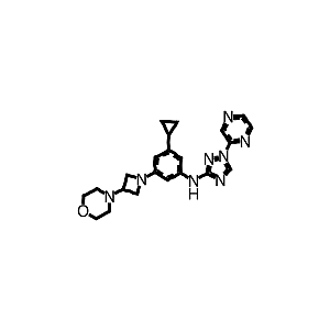 c1cnc(-n2cnc(Nc3cc(C4CC4)cc(N4CC(N5CCOCC5)C4)c3)n2)cn1